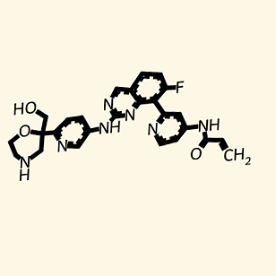 C=CC(=O)Nc1ccnc(-c2c(F)ccc3cnc(Nc4ccc(C5(CO)CNCCO5)nc4)nc23)c1